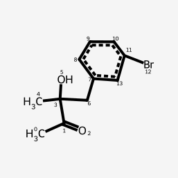 CC(=O)C(C)(O)Cc1cccc(Br)c1